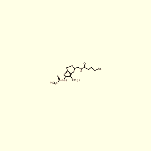 CC(=O)CCCC(=O)NCC1Cc2c(sc(NC(=O)C(=O)O)c2C(=O)O)CO1